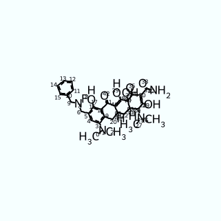 CN(C)c1cc(CN(F)Cc2ccccc2)c(O)c2c1C[C@H]1C[C@H]3[C@H](N(C)C)C(O)=C(C(N)=O)C(=O)[C@@]3(O)C(O)=C1C2=O